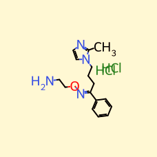 Cc1nccn1CCCC(=NOCCN)c1ccccc1.Cl.Cl